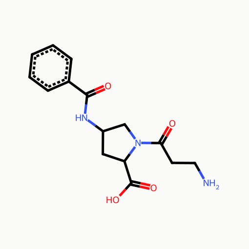 NCCC(=O)N1CC(NC(=O)c2ccccc2)CC1C(=O)O